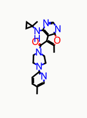 Cc1ccc(N2CCN(C(=O)c3c(C)oc4ncnc(NC5(C)CC5)c34)CC2)nc1